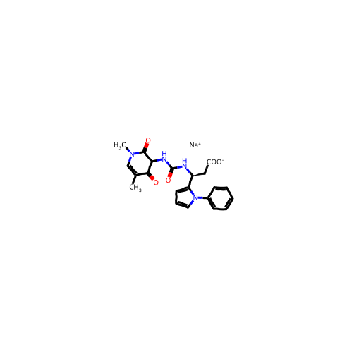 CC1=CN(C)C(=O)C(NC(=O)N[C@@H](CC(=O)[O-])c2cccn2-c2ccccc2)C1=O.[Na+]